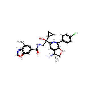 COc1cc(C(=O)NCC(O)(c2cc3c(c(-c4ccc(F)cc4)n2)OC[C@@]3(N)C(F)(F)F)C2CC2)cc2ocnc12